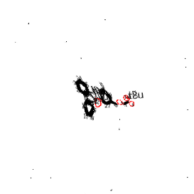 CC(C)(C)OC(=O)COCC1CCCC(O[Si](c2ccccc2)(c2ccccc2)C(C)(C)C)C1